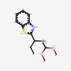 CCC([SiH2]C(OC)OC)c1nc2ccccc2s1